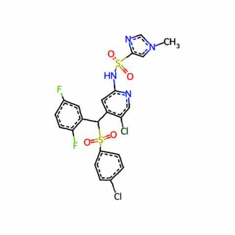 Cn1cnc(S(=O)(=O)Nc2cc(C(c3cc(F)ccc3F)S(=O)(=O)c3ccc(Cl)cc3)c(Cl)cn2)c1